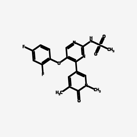 Cc1cc(-c2nc(NS(C)(=O)=O)ncc2Oc2ccc(F)cc2F)cn(C)c1=O